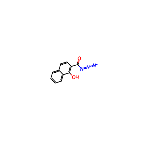 [N-]=[N+]=NC(=O)c1ccc2ccccc2c1O